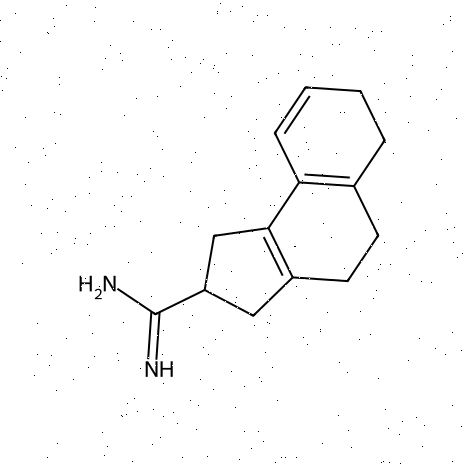 N=C(N)C1CC2=C(C1)C1=C(CCC=C1)CC2